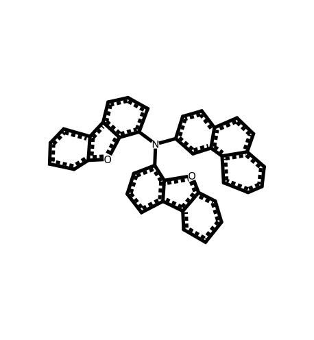 c1ccc2c(c1)ccc1ccc(N(c3cccc4c3oc3ccccc34)c3cccc4c3oc3ccccc34)cc12